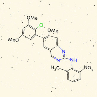 COc1cc(OC)c(Cl)c(-c2cc3cnc(Nc4c(C)cccc4[N+](=O)[O-])nc3cc2OC)c1